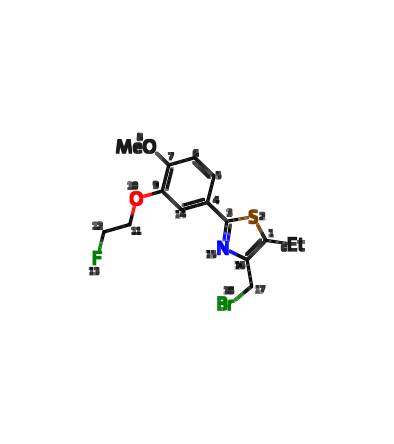 CCc1sc(-c2ccc(OC)c(OCCF)c2)nc1CBr